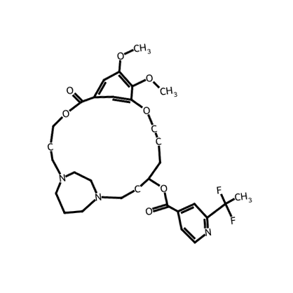 COc1cc2cc(c1OC)OCCCC(OC(=O)c1ccnc(C(C)(F)F)c1)CCN1CCCN(CCCOC2=O)CC1